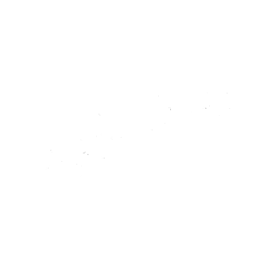 CC1CCCN1CCc1ccc(-c2ccc3c(c2)CN(C(=O)C2CC2)C3)cc1